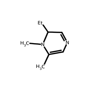 CCC1C=NC=C(C)N1C